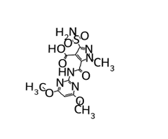 COc1cc(OC)nc(NC(=O)c2c(C(=O)O)c(S(N)(=O)=O)nn2C)n1